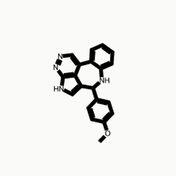 COc1ccc(C2Nc3ccccc3-c3cnnc4[nH]cc2c34)cc1